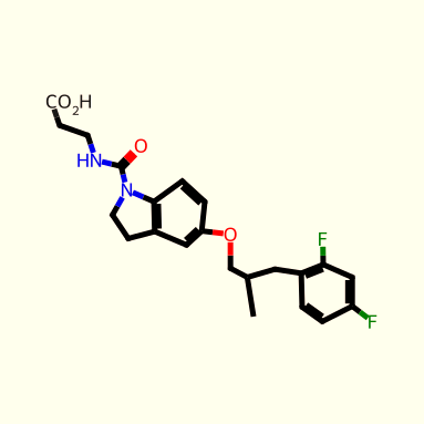 CC(COc1ccc2c(c1)CCN2C(=O)NCCC(=O)O)Cc1ccc(F)cc1F